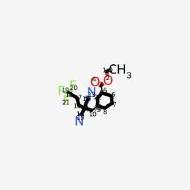 CCOC(=O)[C@H]1CCC[C@@H](CC(C#N)(C#N)CCC(F)(F)F)C1